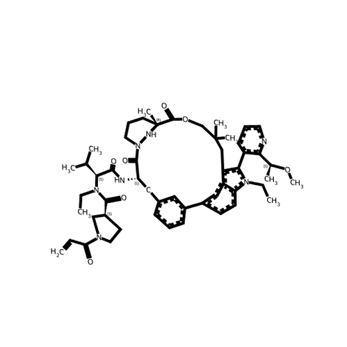 C=CC(=O)N1CC[C@H](C(=O)N(CC)[C@H](C(=O)N[C@H]2Cc3cccc(c3)-c3ccc4c(c3)c(c(-c3cccnc3[C@H](C)OC)n4CC)CC(C)(C)COC(=O)[C@@]3(C)CCCN(N3)C2=O)C(C)C)C1